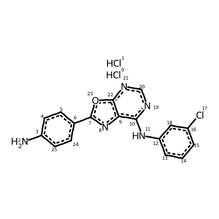 Cl.Cl.Nc1ccc(-c2nc3c(Nc4cccc(Cl)c4)ncnc3o2)cc1